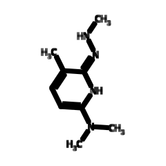 CN/N=c1/[nH]c(N(C)C)ccc1C